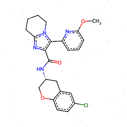 COc1cccc(-c2c(C(=O)N[C@H]3COc4ccc(Cl)cc4C3)nc3n2CCCC3)n1